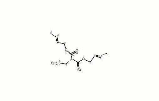 C/C=C/COC(=O)C(CC(=O)OCC)C(=O)OC/C=C/C